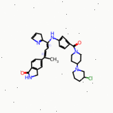 C/C(=C\C=C(\Nc1ccc(C(=O)N2CCC(N3CCCC(Cl)C3)CC2)cc1)C1=NC=CC1)c1ccc2c(c1)CNC2=O